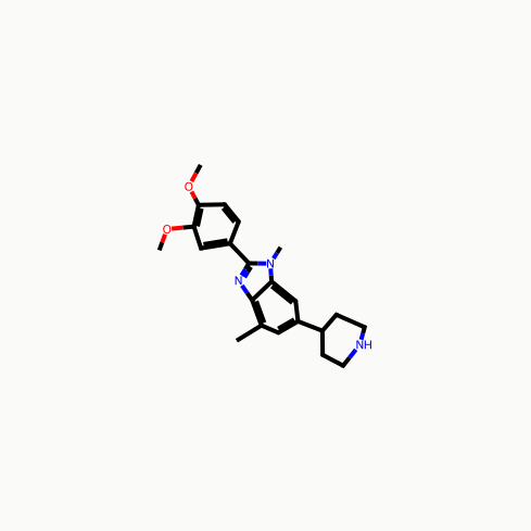 COc1ccc(-c2nc3c(C)cc(C4CCNCC4)cc3n2C)cc1OC